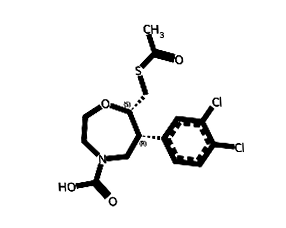 CC(=O)SC[C@H]1OCCN(C(=O)O)C[C@H]1c1ccc(Cl)c(Cl)c1